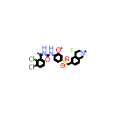 COc1cc(S(=O)(=O)Cc2ccc3c(c2)C(F)CN(C)C3)ccc1NC(=O)N[C@H](C)c1cccc(Cl)c1Cl